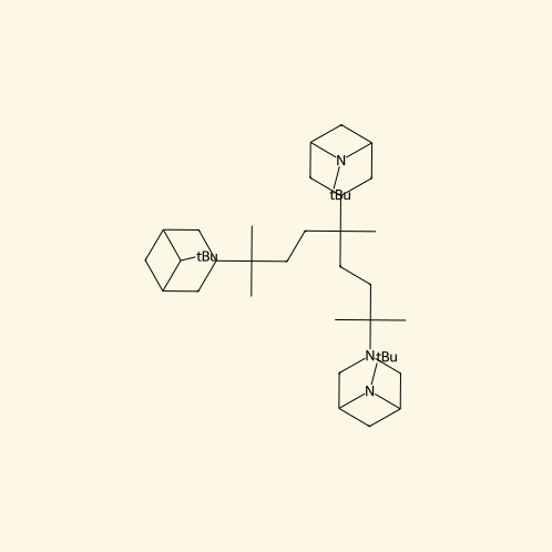 CC(C)(C)C1C2CC1CC(C(C)(C)CCC(C)(CCC(C)(C)N1CC3CC(C1)N3C(C)(C)C)C1CC3CC(C1)N3C(C)(C)C)C2